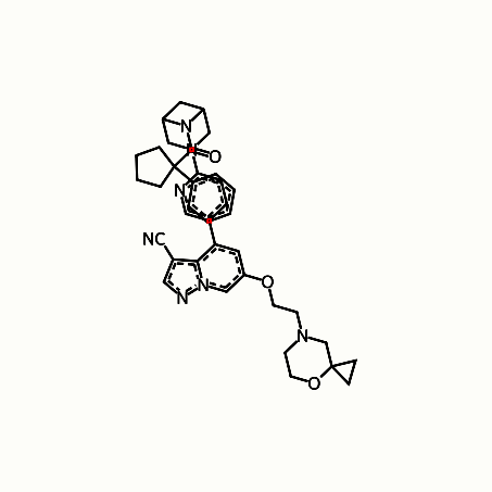 N#Cc1cnn2cc(OCCN3CCOC4(CC4)C3)cc(-c3ccc(N4CC5CC(C4)N5C(=O)C4(c5ccccc5)CCCC4)nc3)c12